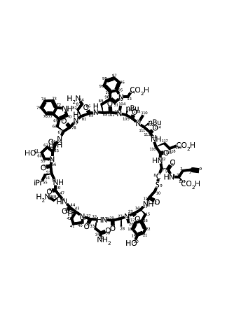 C#CC[C@H](NC(=O)[C@@H]1CSCC(=O)N[C@@H](Cc2ccc(O)cc2)C(=O)N(C)[C@@H](C)C(=O)N[C@@H](CC(N)=O)C(=O)N2CCC[C@H]2C(=O)N[C@@H](CN)C(=O)N[C@@H](CC(C)C)C(=O)N2C[C@H](O)C[C@H]2C(=O)N[C@@H](Cc2c[nH]c3ccccc23)C(=O)N[C@@H](CCN)C(=O)N[C@@H](Cc2cn(CC(=O)O)c3ccccc23)C(=O)N(C)[C@@H](CCCC)C(=O)N(C)[C@@H](CCCC)C(=O)N[C@@H](CCC(=O)O)C(=O)N1)C(=O)O